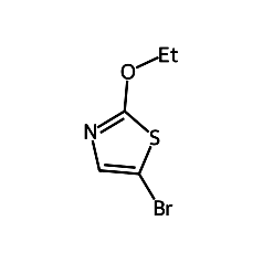 CCOc1ncc(Br)s1